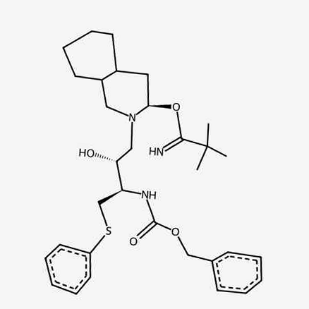 CC(C)(C)C(=N)O[C@@H]1CC2CCCCC2CN1C[C@@H](O)[C@H](CSc1ccccc1)NC(=O)OCc1ccccc1